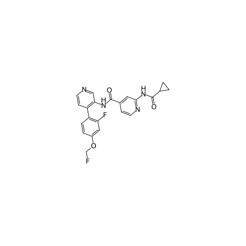 O=C(Nc1cnccc1-c1ccc(OCF)cc1F)c1ccnc(NC(=O)C2CC2)c1